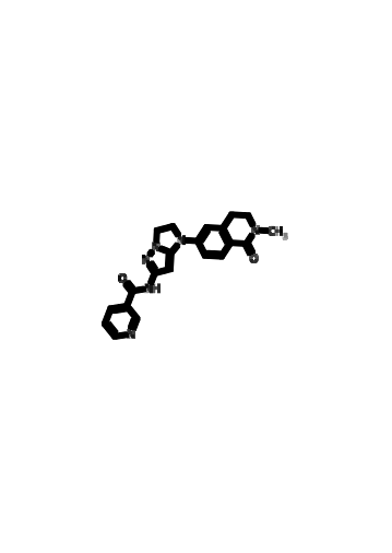 CN1CCc2cc(N3CCn4nc(NC(=O)c5cccnc5)cc43)ccc2C1=O